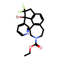 CCOC(=O)N1CCc2ccc3c(c2CC1)C(Br)(c1cccnc1)C(F)(F)C3